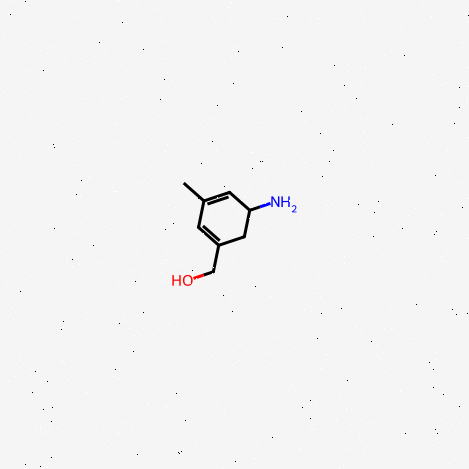 CC1=CC(N)CC(CO)=C1